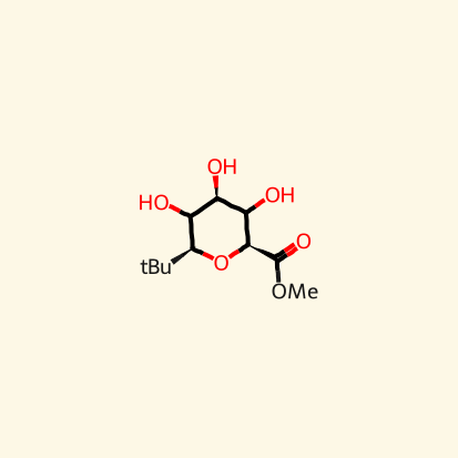 COC(=O)[C@H]1O[C@@H](C(C)(C)C)C(O)[C@@H](O)C1O